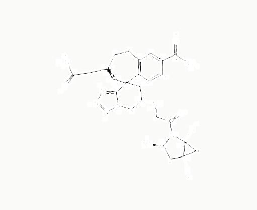 N#C[C@@H]1C[C@@H]2C[C@@H]2N1C(=O)CN[C@@H]1Cn2nnnc2C2(C1)c1ccc(C(N)=O)cc1CCc1cc(C(N)=O)ccc12